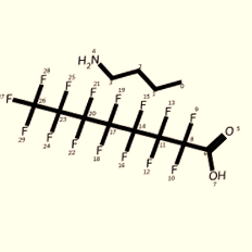 CCCCN.O=C(O)C(F)(F)C(F)(F)C(F)(F)C(F)(F)C(F)(F)C(F)(F)C(F)(F)F